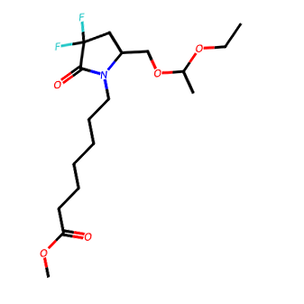 CCOC(C)OCC1CC(F)(F)C(=O)N1CCCCCCC(=O)OC